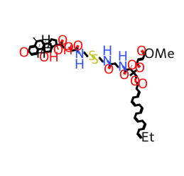 CC/C=C\C/C=C\C/C=C\C/C=C\C/C=C\C/C=C\CC(=O)OCC(C)(C)[C@@H](OC(=O)/C=C/C(=O)OC)C(=O)NCCC(=O)NCCSSCCNC(=O)COCC(=O)[C@@]1(O)CC[C@H]2[C@@H]3C[C@H](C)C4=CC(=O)C=C[C@]4(C)[C@H]3[C@@H](O)C[C@@]21C